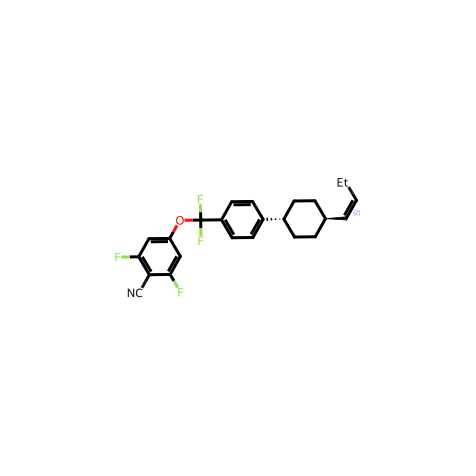 CC/C=C\[C@H]1CC[C@H](c2ccc(C(F)(F)Oc3cc(F)c(C#N)c(F)c3)cc2)CC1